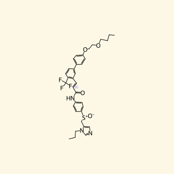 CCCCOCCOc1ccc(-c2ccc(C(F)(F)F)c(/C=C/C(=O)Nc3ccc([S+]([O-])Cc4cncn4CCC)cc3)c2)cc1